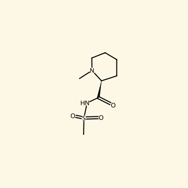 CN1CCCC[C@H]1C(=O)NS(C)(=O)=O